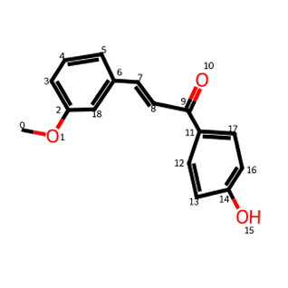 COc1cccc(C=CC(=O)c2ccc(O)cc2)c1